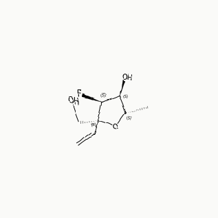 C=C[C@]1(CO)O[C@@H](C)[C@H](O)[C@@H]1F